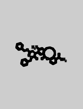 NC(=O)c1cccc2c1CCCCCc1cc(N)c([C@H](CC(=O)OCc3ccccc3)C(=O)OCc3ccccc3)cc1C(=O)O2